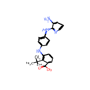 CC(C)(C)c1c(Nc2ccc(Nc3ncccc3N)cc2)cccc1C(=O)O